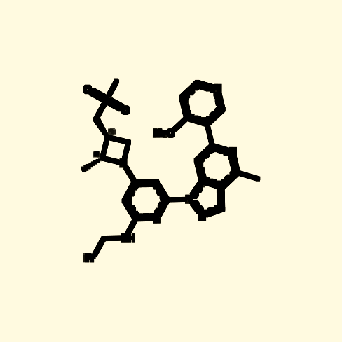 COc1ccncc1-c1cc2c(cnn2-c2cc(N3C[C@H](CS(C)(=O)=O)[C@H]3C)cc(NCC(C)C)n2)c(C)n1